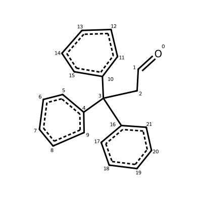 O=CCC(c1ccccc1)(c1ccccc1)c1ccccc1